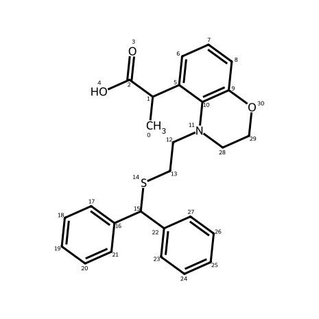 CC(C(=O)O)c1cccc2c1N(CCSC(c1ccccc1)c1ccccc1)CCO2